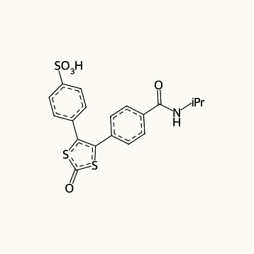 CC(C)NC(=O)c1ccc(-c2sc(=O)sc2-c2ccc(S(=O)(=O)O)cc2)cc1